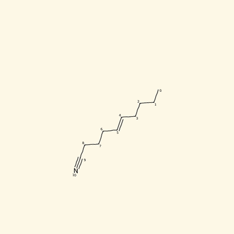 CCCCC=CCCCC#N